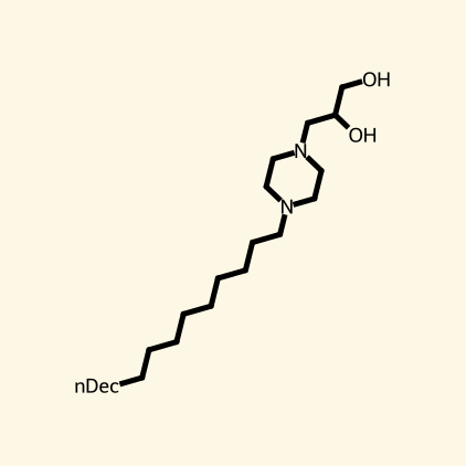 CCCCCCCCCCCCCCCCCCCN1CCN(CC(O)CO)CC1